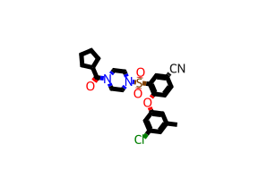 Cc1cc(Cl)cc(Oc2ccc(C#N)cc2S(=O)(=O)N2CCN(C(=O)C3CCCC3)CC2)c1